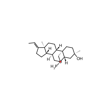 CC=C1CC[C@H]2[C@@H]3CC[C@H]4C[C@](C)(O)CC[C@]4(COP)[C@H]3CC[C@]12C